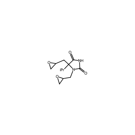 CC(C)C1(CC2CO2)C(=O)NC(=O)N1CC1CO1